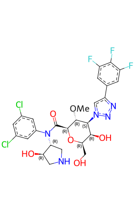 CO[C@@H]1[C@@H](n2cc(-c3cc(F)c(F)c(F)c3)nn2)[C@@H](O)[C@@H](CO)O[C@H]1C(=O)N(c1cc(Cl)cc(Cl)c1)[C@@H]1CNC[C@H]1O